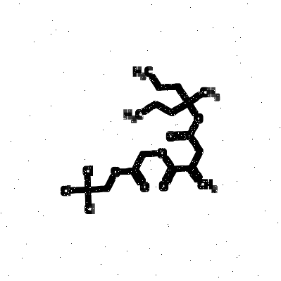 C=C(CC(=O)OC(C)(CCC)CCC)C(=O)OCC(=O)OCC(Cl)(Cl)Cl